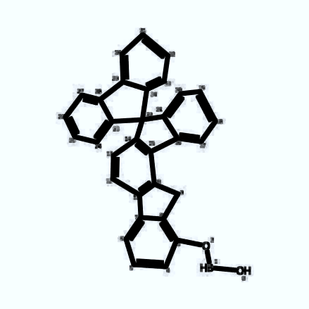 OBOc1cccc2c1Cc1c-2ccc2c1-c1ccccc1C21c2ccccc2-c2ccccc21